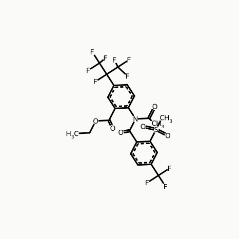 CCOC(=O)c1cc(C(F)(C(F)(F)F)C(F)(F)F)ccc1N(C(C)=O)C(=O)c1ccc(C(F)(F)F)cc1S(C)(=O)=O